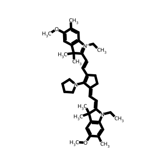 CCN1/C(=C/C=C2\CCC(/C=C/C3=[N+](CC)c4cc(C)c(OC)cc4C3(C)C)=C2N2CCCC2)C(C)(C)c2cc(OC)c(C)cc21